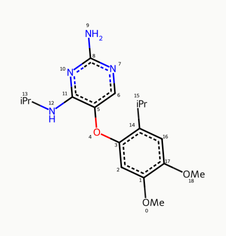 COc1cc(Oc2cnc(N)nc2NC(C)C)c(C(C)C)cc1OC